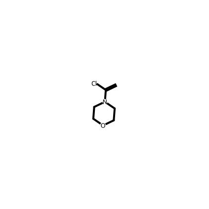 C=C(Cl)N1CCOCC1